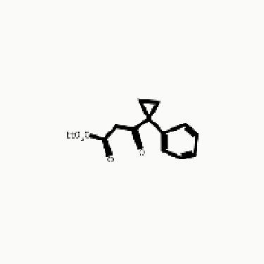 CCOC(=O)C(=O)CC(=O)C1(c2ccccc2)CC1